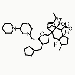 CC(C)C1=CC2CC3(C=O)[C@@H]4CC[C@@H](C)[C@H]4CC2([C@H]2C[C@@H](CC4CCCC4)[C@H](CN4CCCC(N5CCCCC5)C4)O2)[C@]13C(=O)O